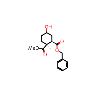 COC(=O)[C@@]1(C)CC[C@@H](O)C[C@H]1C(=O)OCc1ccccc1